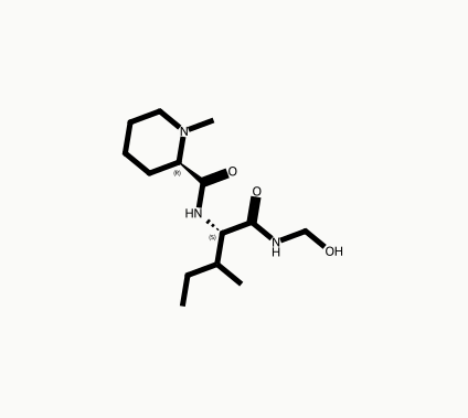 CCC(C)[C@H](NC(=O)[C@H]1CCCCN1C)C(=O)NCO